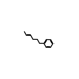 CC=CCCCc1cc[c]cc1